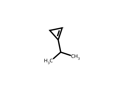 CC(C)C1=[C]C1